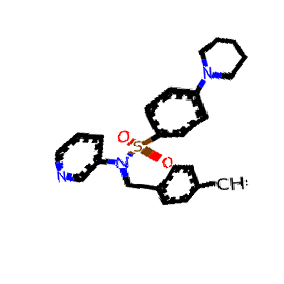 [CH]c1ccc(CN(c2cccnc2)S(=O)(=O)c2ccc(N3CCCCC3)cc2)cc1